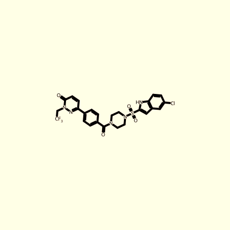 O=C(c1ccc(-c2ccc(=O)n(CC(F)(F)F)n2)cc1)N1CCN(S(=O)(=O)c2cc3cc(Cl)ccc3[nH]2)CC1